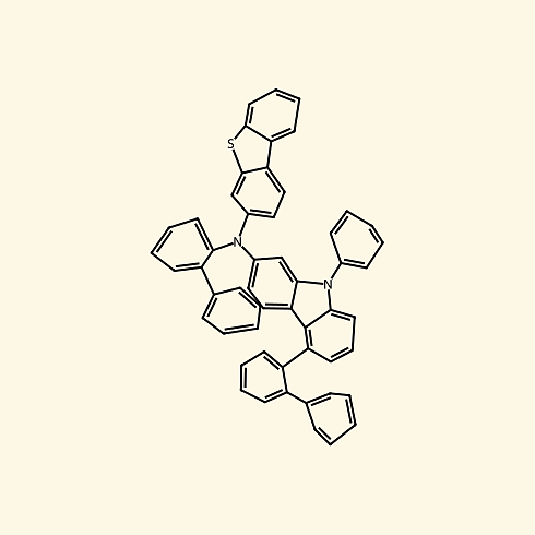 c1ccc(-c2ccccc2-c2cccc3c2c2ccc(N(c4ccc5c(c4)sc4ccccc45)c4ccccc4-c4ccccc4)cc2n3-c2ccccc2)cc1